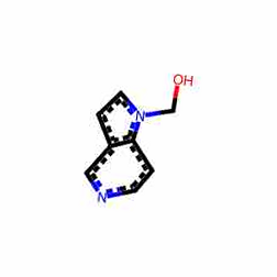 OCn1ccc2cnccc21